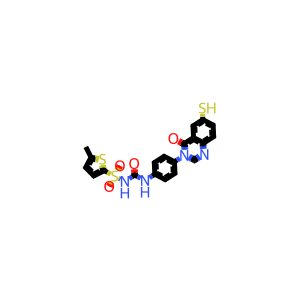 Cc1ccc(S(=O)(=O)NC(=O)Nc2ccc(-n3cnc4ccc(S)cc4c3=O)cc2)s1